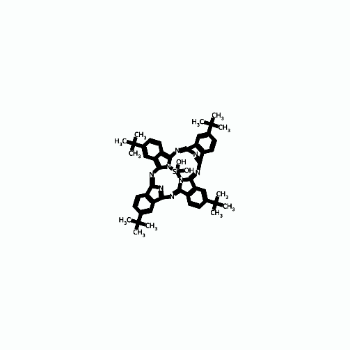 CC(C)(C)c1ccc2c(c1)C1=NC2=Nc2c3cc(C(C)(C)C)ccc3c3n2[Si](O)(O)n2c(c4ccc(C(C)(C)C)cc4c2=NC2=NC(=N3)c3cc(C(C)(C)C)ccc32)=N1